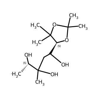 [CH2][C@H](O)C(C)(O)CC(O)[C@@H]1OC(C)(C)OC1(C)C